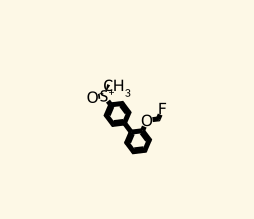 C[S@+]([O-])c1ccc(-c2ccccc2OCF)cc1